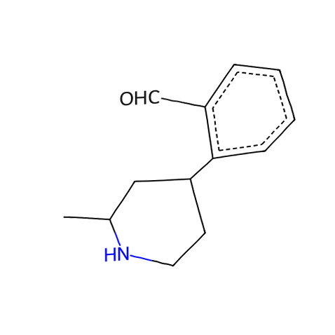 CC1CC(c2ccccc2C=O)CCN1